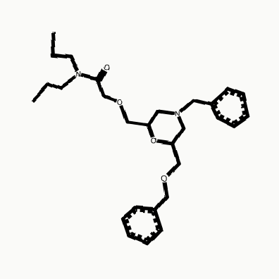 CCCN(CCC)C(=O)COCC1CN(Cc2ccccc2)CC(COCc2ccccc2)O1